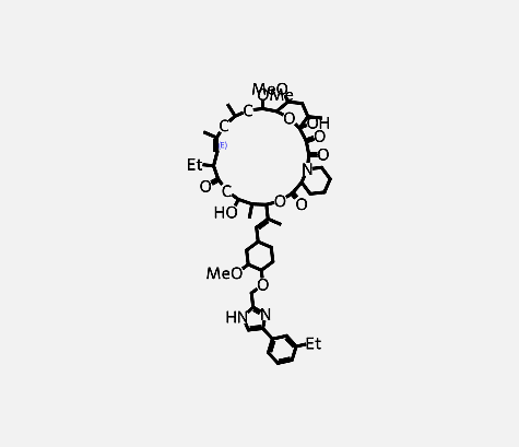 CCc1cccc(-c2c[nH]c(COC3CCC(C=C(C)C4OC(=O)C5CCCCN5C(=O)C(=O)C5(O)OC(C(OC)CC(C)C/C(C)=C/C(CC)C(=O)CC(O)C4C)C(OC)CC5C)CC3OC)n2)c1